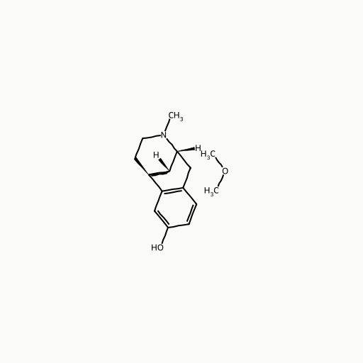 CN1CC[C@]23CCCC[C@H]2[C@H]1Cc1ccc(O)cc13.COC